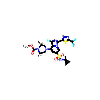 C[C@H]1CN(c2cc(S(=O)(=O)NC3(C)CC3)cn3c(-c4nnc(C(F)F)s4)nc(F)c23)C[C@H](C)N1C(=O)OC(C)(C)C